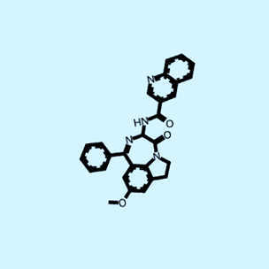 COc1cc2c3c(c1)C(c1ccccc1)=NC(NC(=O)c1cnc4ccccc4c1)C(=O)N3CC2